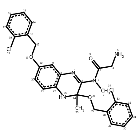 CN(C(=O)CN)C1=Nc2cc(OCc3ccccc3Cl)ccc2NC1(C)OCc1ccccc1Cl